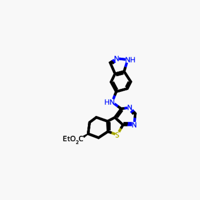 CCOC(=O)[C@H]1CCc2c(sc3ncnc(Nc4ccc5[nH]ncc5c4)c23)C1